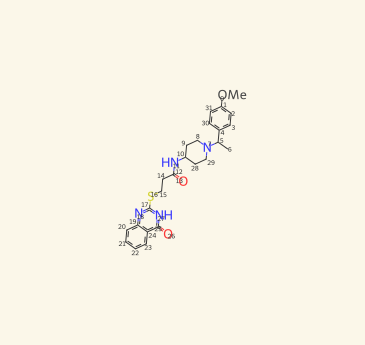 COc1ccc(C(C)N2CCC(NC(=O)CCSc3nc4ccccc4c(=O)[nH]3)CC2)cc1